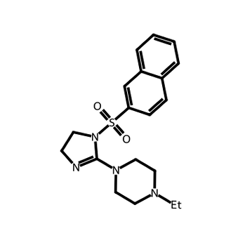 CCN1CCN(C2=NCCN2S(=O)(=O)c2ccc3ccccc3c2)CC1